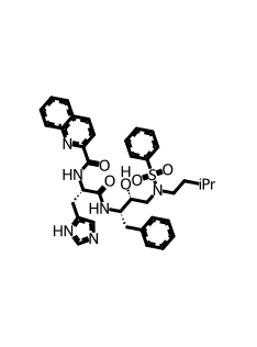 CC(C)CCN(C[C@@H](O)[C@H](Cc1ccccc1)NC(=O)[C@H](Cc1cnc[nH]1)NC(=O)c1ccc2ccccc2n1)S(=O)(=O)c1ccccc1